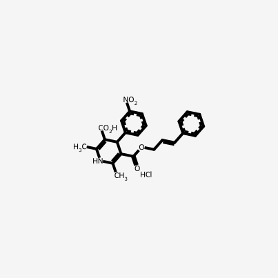 CC1=C(C(=O)O)C(c2cccc([N+](=O)[O-])c2)C(C(=O)OCC=Cc2ccccc2)=C(C)N1.Cl